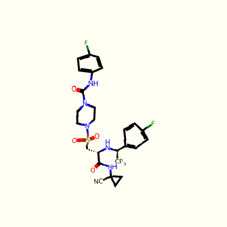 N#CC1(NC(=O)[C@H](CS(=O)(=O)N2CCN(C(=O)Nc3ccc(F)cc3)CC2)N[C@@H](c2ccc(F)cc2)C(F)(F)F)CC1